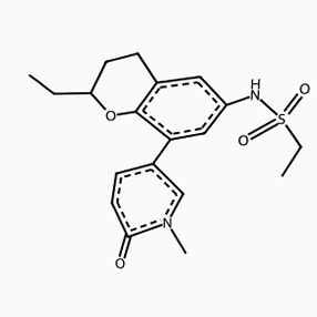 CCC1CCc2cc(NS(=O)(=O)CC)cc(-c3ccc(=O)n(C)c3)c2O1